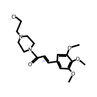 COc1cc(/C=C/C(=O)N2CCN(CCCl)CC2)cc(OC)c1OC